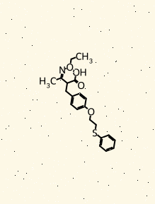 CCO/N=C(/C)C(Cc1ccc(OCCSc2ccccc2)cc1)C(=O)O